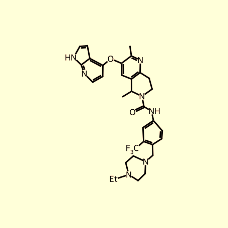 CCN1CCN(Cc2ccc(NC(=O)N3CCc4nc(C)c(Oc5ccnc6[nH]ccc56)cc4C3C)cc2C(F)(F)F)CC1